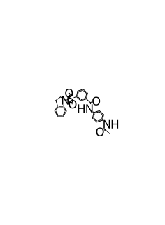 CC(=O)Nc1ccc(NC(=O)c2cccc(S(=O)(=O)N3CCc4ccccc43)c2)cc1